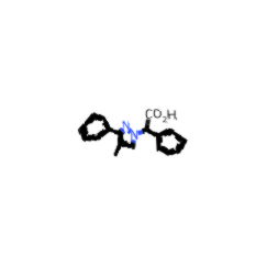 Cc1cn(C(C(=O)O)c2ccccc2)nc1-c1ccccc1